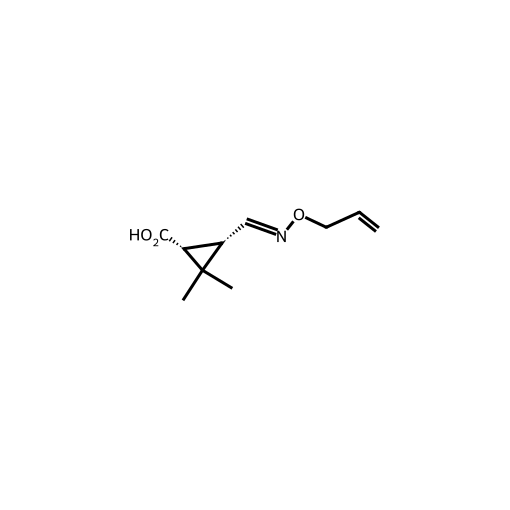 C=CCON=C[C@H]1[C@@H](C(=O)O)C1(C)C